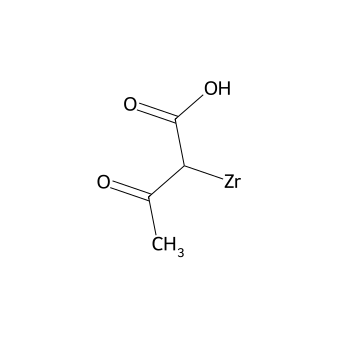 CC(=O)[CH]([Zr])C(=O)O